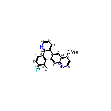 COc1ccnc2ccc(-c3cccnc3-c3ccc(F)c(C)c3)cc12